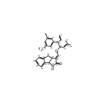 C=CN(c1cc(C)cc(C(F)(F)F)c1)C(C=C(C)C)O/C=C1/C(=O)NC2c3ccccc3CC12